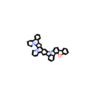 c1ccc2c(c1)-c1cccc[n+]1C1c3c(c4cc5c(cc4c4cccc[n+]34)c3cccc4c6c7oc8ccccc8c7ccc6n5c34)CC21